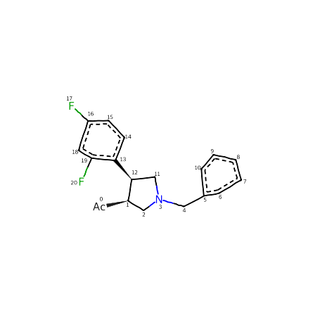 CC(=O)[C@@H]1CN(Cc2ccccc2)C[C@@H]1c1ccc(F)cc1F